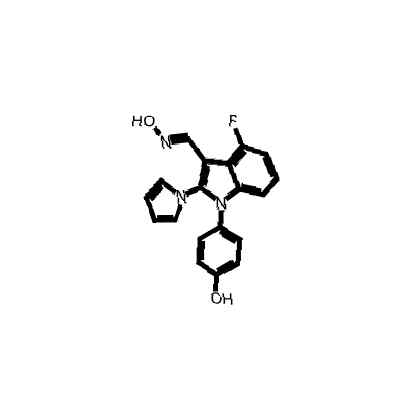 O/N=C/c1c(-n2cccc2)n(-c2ccc(O)cc2)c2cccc(F)c12